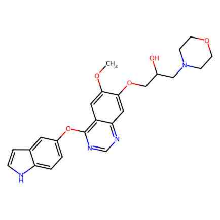 COc1cc2c(Oc3ccc4[nH]ccc4c3)ncnc2cc1OCC(O)CN1CCOCC1